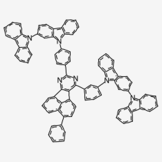 c1ccc(-c2ccc3c4c(cccc24)-c2nc(-c4ccc(-n5c6ccccc6c6ccc(-n7c8ccccc8c8ccccc87)cc65)cc4)nc(-c4cccc(-n5c6ccccc6c6ccc(-n7c8ccccc8c8ccccc87)cc65)c4)c2-3)cc1